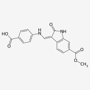 COC(=O)c1ccc2c(c1)NC(=O)/C2=C\Nc1ccc(C(=O)O)cc1